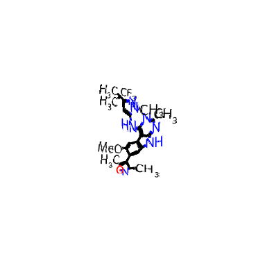 COc1cc2c(cc1-c1c(C)noc1C)[nH]c1nc(C)nc(Nc3cc(C(C)(C)C(F)(F)F)nn3C)c12